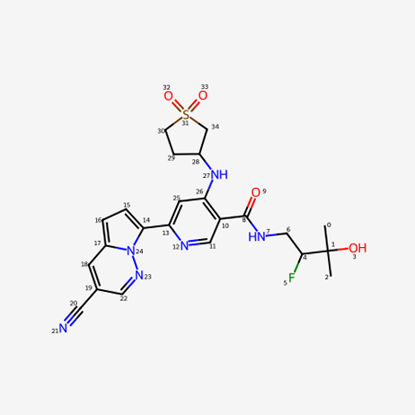 CC(C)(O)C(F)CNC(=O)c1cnc(-c2ccc3cc(C#N)cnn23)cc1NC1CCS(=O)(=O)C1